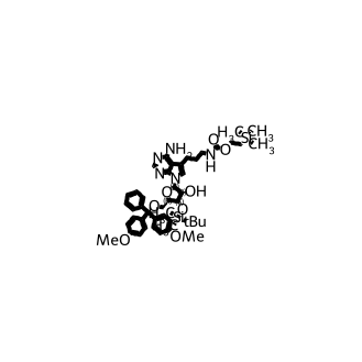 COc1ccc(C(OC[C@H]2O[C@@H](n3cc(CCCNC(=O)OCC[Si](C)(C)C)c4c(N)ncnc43)[C@H](O)[C@@H]2O[Si](C)(C)C(C)(C)C)(c2ccccc2)c2ccc(OC)cc2)cc1